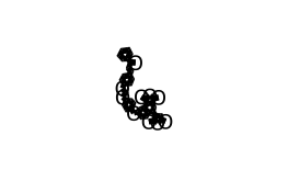 O=C1CC(C2CC3C(=O)OC(=O)C3c3cc(Oc4ccc(OCOc5ccc(/C=C/C(=O)c6ccccc6)cc5)cc4)ccc32)C(=O)O1